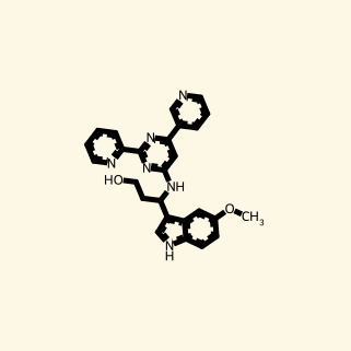 COc1ccc2[nH]cc(C(CCO)Nc3cc(-c4cccnc4)nc(-c4ccccn4)n3)c2c1